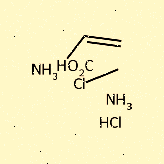 C=CC(=O)O.CCl.Cl.N.N